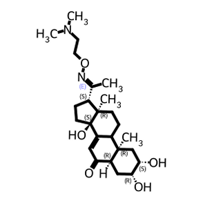 C/C(=N\OCCN(C)C)[C@H]1CC[C@@]2(O)C3=CC(=O)[C@@H]4C[C@@H](O)[C@@H](O)C[C@]4(C)C3CC[C@]12C